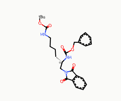 CC(C)(C)OC(=O)NCCCC[C@@H](CN1C(=O)c2ccccc2C1=O)NC(=O)OCc1ccccc1